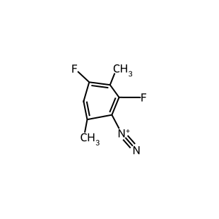 Cc1cc(F)c(C)c(F)c1[N+]#N